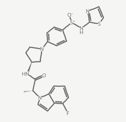 C[C@H](C(=O)N[C@H]1CCN(c2ccc([S+]([O-])Nc3nccs3)cc2)C1)n1ccc2c(F)cccc21